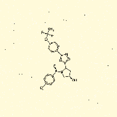 CC(F)(F)Oc1ccc(-c2noc(C3C[C@@H](O)CN3C(=O)c3ccc(Cl)cc3)n2)cc1